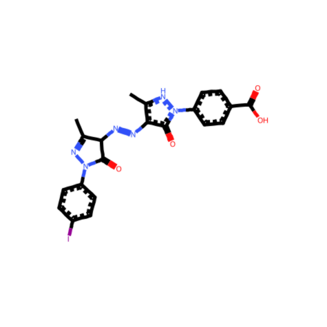 CC1=NN(c2ccc(I)cc2)C(=O)C1N=Nc1c(C)[nH]n(-c2ccc(C(=O)O)cc2)c1=O